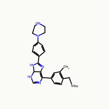 CNCc1ccc(C2=C3N=C(c4ccc(N5CCNCC5)cc4)NC3NC=N2)cc1C